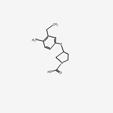 CCc1cc(OC2CCN(C(=O)O)C2)ccc1N